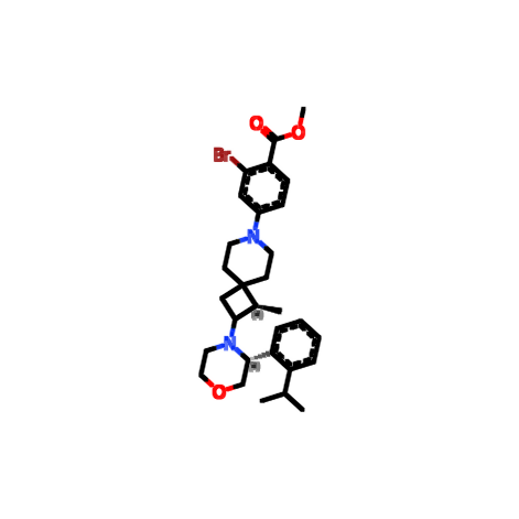 COC(=O)c1ccc(N2CCC3(CC2)CC(N2CCOC[C@H]2c2ccccc2C(C)C)[C@@H]3C)cc1Br